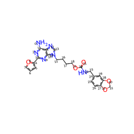 Nc1nc(-c2ccco2)nc2c1ncn2CCCCOC(=O)NCc1ccc2c(c1)OCO2